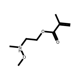 C=C(C)C(=O)OCC[SiH](C)OC